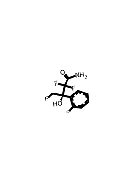 NC(=O)C(F)(F)[C@@](O)(CF)c1ccccc1F